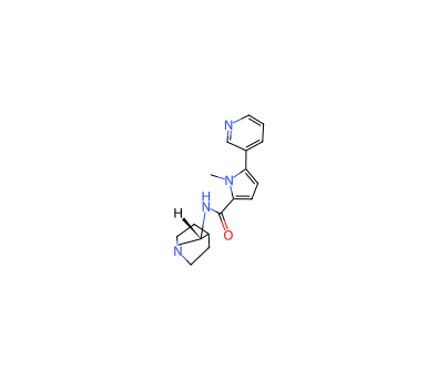 Cn1c(C(=O)N[C@H]2CN3CCC2CC3)ccc1-c1cccnc1